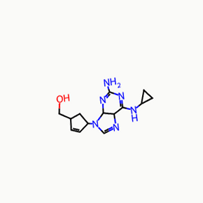 NC1=NC2C(N=CN2C2C=CC(CO)C2)C(NC2CC2)=N1